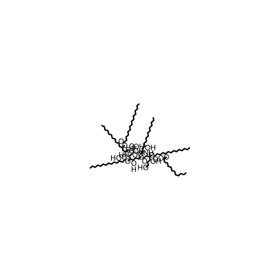 CCCCCCCCCCCCCCCC(=O)OC(CCCCCCCCCCC)CC(=O)N[C@@H]1C(OP(=O)(O)O)OC(CO[C@@H]2OC(CO)C(O)C(OC(=O)CC(CCCCCCCCCCC)OC(=O)CCCCCCCCCCC)[C@@H]2NC(=O)CC(O)CCCCCCCCCCC)[C@@H](O)C1OC(=O)CC(O)CCCCCCCCCCC